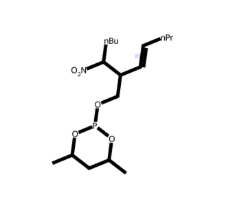 CCC/C=C/C(COP1OC(C)CC(C)O1)C(CCCC)[N+](=O)[O-]